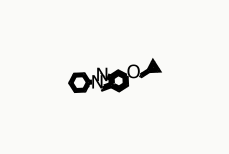 c1cc2cn([C]3CCCCC3)nc2cc1OCC1CC1